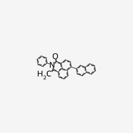 C=c1c2cccc3c(-c4ccc5ccccc5c4)ccc(c(=O)n1-c1ccccc1)c32